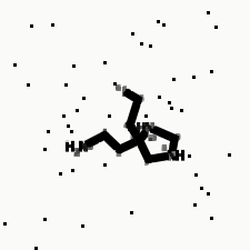 NCCC1(CCI)CNCN1